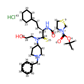 CC(C)(C)OC(=O)N1CSC[C@H]1C(=O)N[C@H](CCC1CCCCC1)C(=S)N(CCO)C1CCN(Cc2ccccc2)CC1.Cl